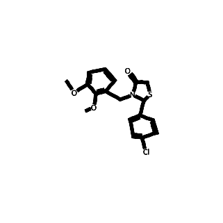 COc1cccc(CN2C(=O)CSC2c2ccc(Cl)cc2)c1OC